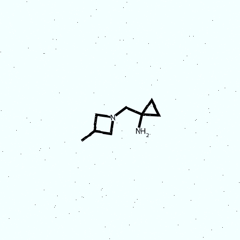 CC1CN(CC2(N)CC2)C1